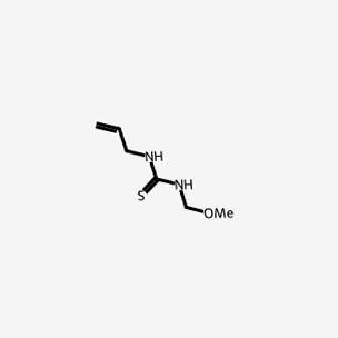 C=CCNC(=S)NCOC